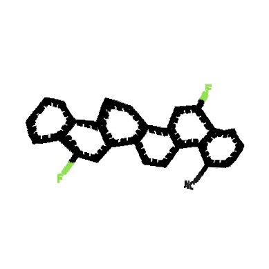 N#Cc1cccc2c(F)cc3c4ccc5c6ccccc6c(F)cc5c4ccc3c12